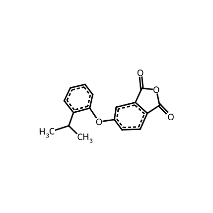 CC(C)c1ccccc1Oc1ccc2c(c1)C(=O)OC2=O